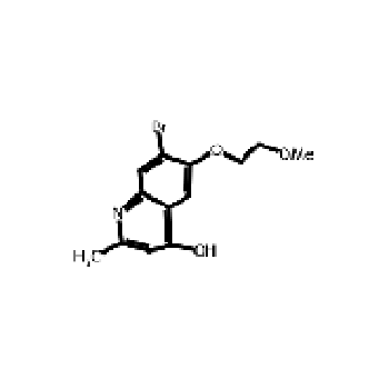 COCCOc1cc2c(O)cc(C)nc2cc1Br